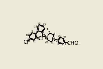 O=[C]c1ccc(N2CCN(Cc3ccccc3-c3ccc(Cl)cc3Cl)CC2)cc1